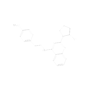 CCC1CCCN1c1nc(NCCc2ccc(OC)cc2)c2ccccc2n1